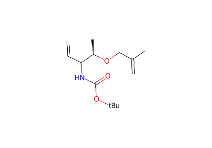 C=CC(NC(=O)OC(C)(C)C)[C@@H](C)OCC(=C)C